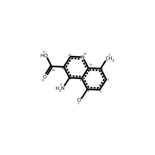 Cc1ccc(Cl)c2c(N)c(C(=O)O)cnc12